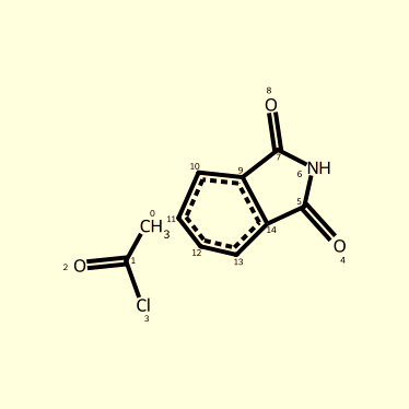 CC(=O)Cl.O=C1NC(=O)c2ccccc21